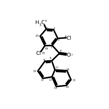 Cc1cc(Cl)c(C(=O)c2cccc3ccccc23)c(Cl)c1